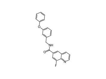 O=C(NCc1cccc(Oc2ccccc2)c1)c1cc(F)c2ncccc2c1